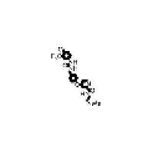 CNCCNC(=O)c1cc(Oc2ccc(CNC(=O)Nc3ccc(Cl)c(C(F)(F)F)c3)cc2)ccn1